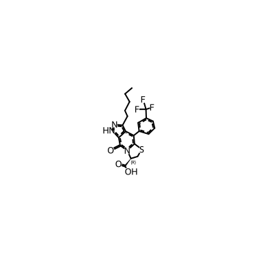 CCCCCc1n[nH]c2c(=O)n3c(c(-c4cccc(C(F)(F)F)c4)c12)SC[C@H]3C(=O)O